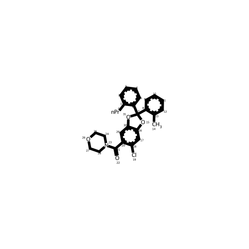 CCCc1ccccc1C1(c2ccccc2C)Oc2cc(Cl)c(C(=O)N3CCOCC3)cc2O1